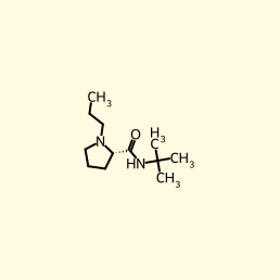 CCCN1CCC[C@H]1C(=O)NC(C)(C)C